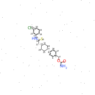 NC(=O)OCc1ccc([C@H]2CC[C@@H](CC(=S)Nc3cccc(Cl)c3)CC2)cc1